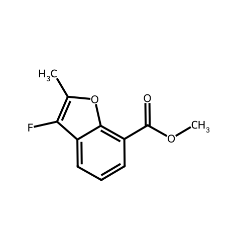 COC(=O)c1cccc2c(F)c(C)oc12